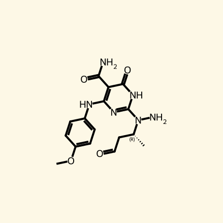 COc1ccc(Nc2nc(N(N)[C@H](C)CC=O)[nH]c(=O)c2C(N)=O)cc1